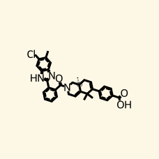 Cc1cc2nc(-c3ccccc3C(=O)N3CC=C4C(C)(C)C(c5ccc(C(=O)O)cc5)=CC[C@]4(C)C3)[nH]c2cc1Cl